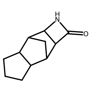 O=C1NC2C3CC(C4CCCC43)C12